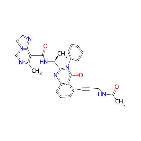 CC(=O)NCC#Cc1cccc2nc([C@H](C)NC(=O)c3c(C)ncn4ccnc34)n(-c3ccccc3)c(=O)c12